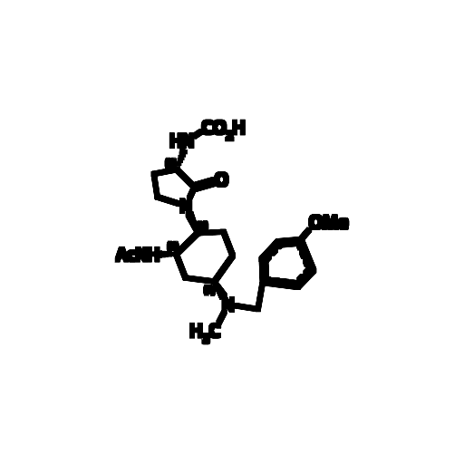 COc1ccc(CN(C)[C@@H]2CC[C@H](N3CC[C@H](NC(=O)O)C3=O)[C@@H](NC(C)=O)C2)cc1